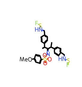 COc1ccc(S(=O)(=O)ON=C(C(C)c2ccc(CNSF)cc2)C(C)c2ccc(CNSF)cc2)cc1